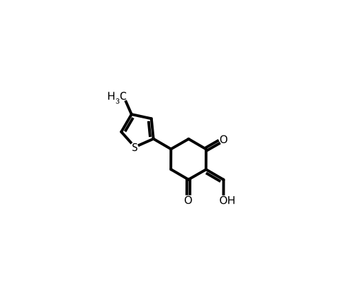 Cc1csc(C2CC(=O)C(=CO)C(=O)C2)c1